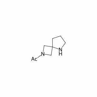 CC(=O)N1CC2(CCCN2)C1